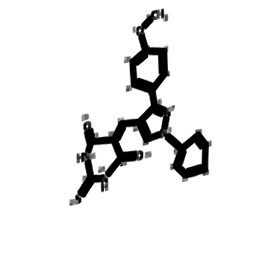 COc1ccc(-c2nn(-c3ccccc3)cc2C=C2C(=O)NC(=S)NC2=O)cc1